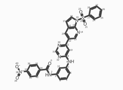 O=C(Nc1cccc(Nc2cc(-c3cnc4c(ccn4S(=O)(=O)c4ccccc4)c3)ncn2)c1)c1ccc([N+](=O)[O-])cc1